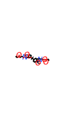 C=CC(=O)CCCN1COc2ccc(C(C)(C)c3ccc4c(c3)CN(CCOC(=O)C=C)CO4)cc2C1